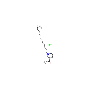 CCCCCCCCCCCC[n+]1cccc(C(C)=O)c1.[Cl-]